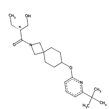 CC[C@H](CO)C(=O)N1CC2(CCC(Oc3cccc(C(C)(C)C)n3)CC2)C1